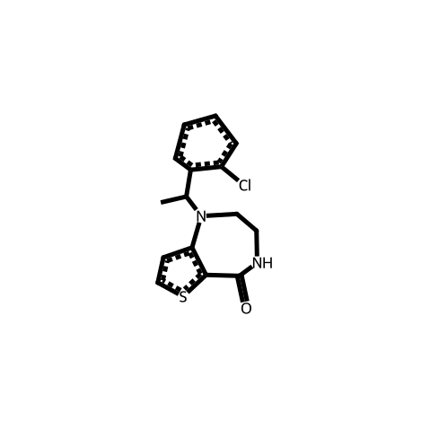 CC(c1ccccc1Cl)N1CCNC(=O)c2sccc21